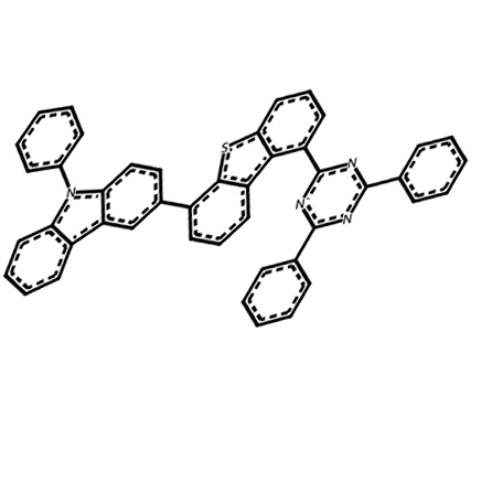 c1ccc(-c2nc(-c3ccccc3)nc(-c3cccc4sc5c(-c6ccc7c(c6)c6ccccc6n7-c6ccccc6)cccc5c34)n2)cc1